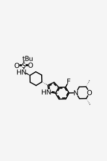 C[C@@H]1CN(c2ccc3[nH]c([C@H]4CC[C@H](NS(=O)(=O)C(C)(C)C)CC4)cc3c2F)C[C@H](C)O1